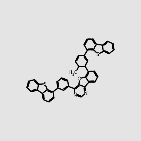 CC1C=CC(c2cccc3c2sc2ccccc23)=CC1c1cccc2c1oc1c(-c3cccc(-c4cccc5c4sc4ccccc45)c3)ncnc12